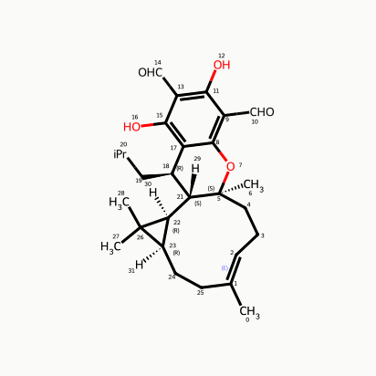 C/C1=C\CC[C@]2(C)Oc3c(C=O)c(O)c(C=O)c(O)c3[C@H](CC(C)C)[C@H]2[C@H]2[C@@H](CC1)C2(C)C